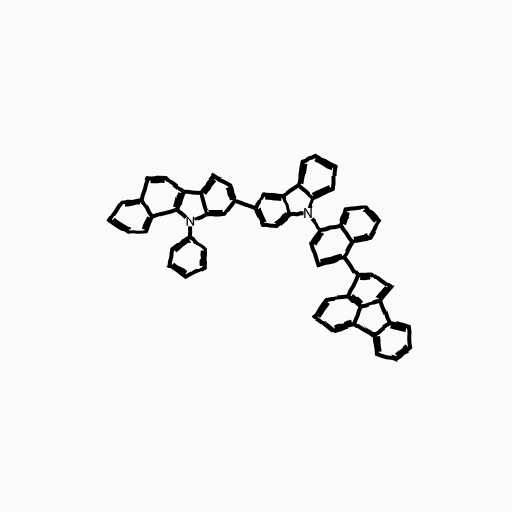 c1ccc(-n2c3cc(-c4ccc5c(c4)c4ccccc4n5-c4ccc(-c5ccc6c7c(cccc57)-c5ccccc5-6)c5ccccc45)ccc3c3ccc4ccccc4c32)cc1